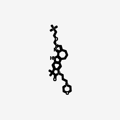 CC1(C)C(=O)N(CCCN2CCOCC2)c2cc3c4c([nH]c3cc21)-c1nn(COCC[Si](C)(C)C)cc1CCC4